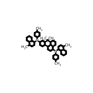 Cc1ccc(N(c2ccc3c(c2)C(C)(C)c2cccc4c(N(c5ccc(C)cc5)c5ccc(C)c6ccccc56)ccc-3c24)c2ccc(C)c3ccccc23)cc1